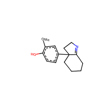 COc1cc(C23CCCCC2=NCC3)ccc1O